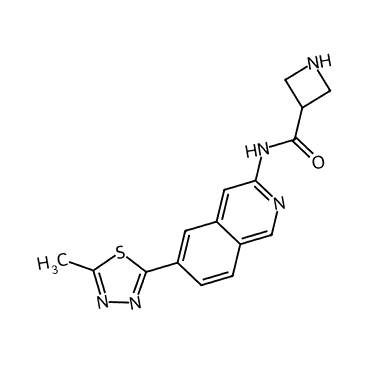 Cc1nnc(-c2ccc3cnc(NC(=O)C4CNC4)cc3c2)s1